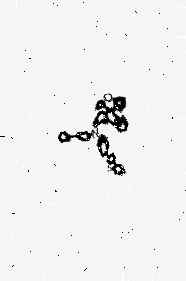 c1ccc(-c2ccc(N(c3ccc(-c4ccc5c(c4)sc4ccccc45)cc3)c3ccc4c(c3)-c3ccccc3C43c4ccccc4Oc4ccccc43)cc2)cc1